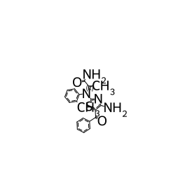 Cc1ccccc1N(c1nc(N)c(C(=O)c2ccccc2)s1)[C@H](C)C(N)=O